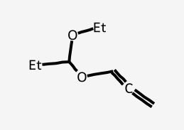 C=C=COC(CC)OCC